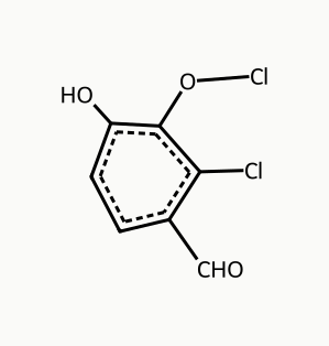 O=Cc1ccc(O)c(OCl)c1Cl